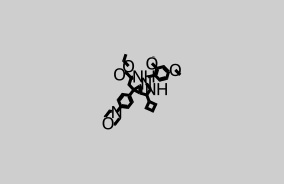 CCOC(=O)C(=N)CC1(c2ccc(N3CCOCC3)cc2)C2=C1N(Cc1ccc(OC)cc1OC)NC2C1CCC1